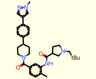 Cc1ccc(C(=O)N2CCC(c3ccc(-c4cnn(C)c4)cc3)CC2)cc1NC(=O)C1CCN(CC(C)(C)C)C1